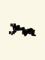 C=CCOC(=O)c1ccc(NC(=O)c2ccc(NC(=O)c3ccc(NC(=O)[C@H](CC(N)=O)NC(=O)c4ccc(N)cc4)cc3)c(OC(C)C)c2OCC=C)c(OC(C)C)c1OCC=C